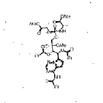 COC(=O)[C@H](C)NP(=O)(N[C@@H](C)C(=O)OC)OC[C@@](C#N)(OC)[C@@H](OC(=O)C(C)C)[C@@H](OC(=O)C(C)C)c1ccc2c(NC(=O)C(C)C)ncnn12